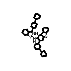 N=C(c1ccc(-c2ccccc2)cc1)c1ccccc1/N=C/Nc1cc2c(cc1-c1cccc(-c3ccccc3)c1)sc1ccccc12